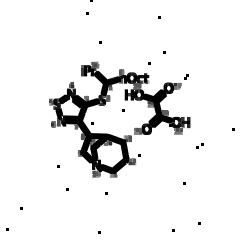 CCCCCCCCC(Sc1nsnc1C1CN2CCCC1C2)C(C)C.O=C(O)C(=O)O